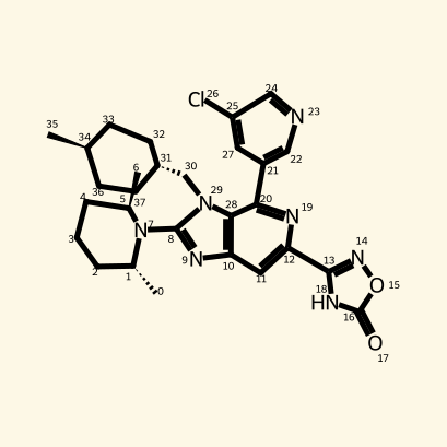 C[C@@H]1CCC[C@@H](C)N1c1nc2cc(-c3noc(=O)[nH]3)nc(-c3cncc(Cl)c3)c2n1C[C@H]1CC[C@H](C)CC1